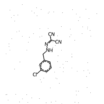 N#CC(C#N)=NNCc1cccc(Cl)c1